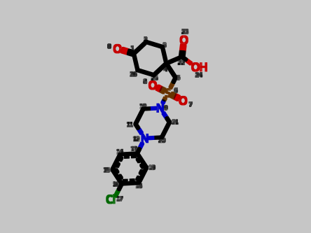 O=C1CCC(CS(=O)(=O)N2CCN(c3ccc(Cl)cc3)CC2)(C(=O)O)CC1